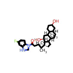 C[C@H](CCC(=O)N1CNc2cc(F)ccc21)[C@H]1CC[C@H]2[C@@H]3CC[C@@H]4C[C@H](O)CC[C@]4(C)[C@H]3C[C@H](O)[C@]12C